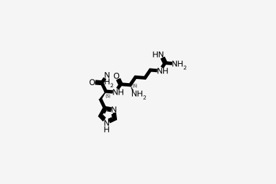 N=C(N)NCCC[C@H](N)C(=O)N[C@@H](Cc1c[nH]cn1)C(N)=O